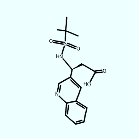 CC(C)(C)S(=O)(=O)N[C@@H](CC(=O)O)c1cnc2ccccc2c1